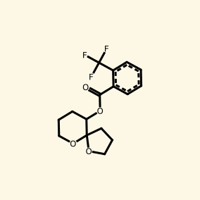 O=C(OC1CCCOC12CCCO2)c1ccccc1C(F)(F)F